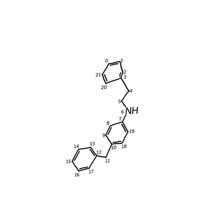 c1ccc(CCNc2ccc(Cc3ccccc3)cc2)cc1